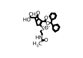 CC(=O)NCC[S+]([O-])C1=C(C(=O)OC(c2ccccc2)c2ccccc2)C2C(=O)C(C(C)O)C2C1